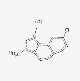 Cl.Cn1cc(C(=O)O)c2ccc3cnc(Cl)cc3c21